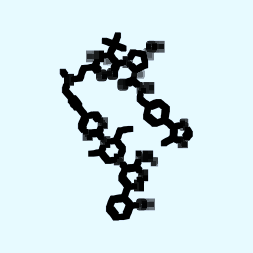 CCC1CN(c2cc(-c3ccccc3O)nnc2N)CC(C)N1c1ncc(C#CCN(C)CCC(=O)N[C@H](C(=O)N2C[C@H](O)C[C@H]2C(=O)NCc2ccc(-c3scnc3C)cc2)C(C)(C)C)cn1